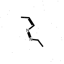 C/C=C\N=N/CC